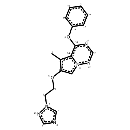 Cc1c(OCCn2cncn2)cn2ncnc(Oc3ccccc3)c12